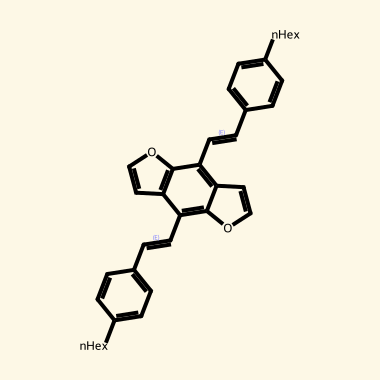 CCCCCCc1ccc(/C=C/c2c3ccoc3c(/C=C/c3ccc(CCCCCC)cc3)c3ccoc23)cc1